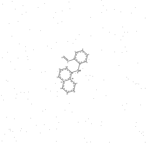 C=Cc1ccccc1[Se]c1cccc2ccccc12